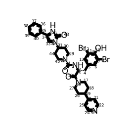 O=C(N[C@H](Cc1cc(Br)c(O)c(Br)c1)C(=O)N1CCC(c2ccncc2)CC1)N1CCC(n2cc(-c3ccccc3)[nH]c2=O)CC1